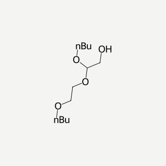 CCCCOCCOC(CO)OCCCC